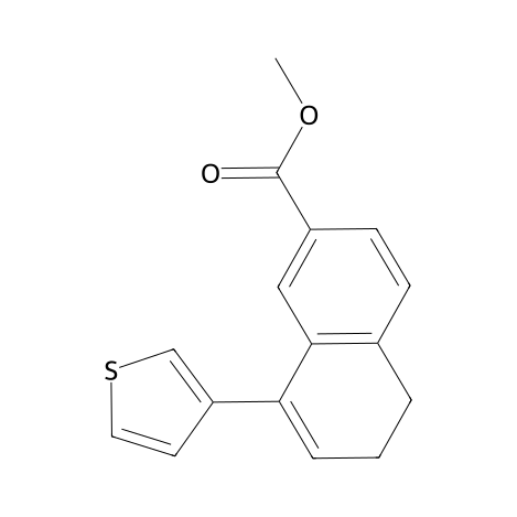 COC(=O)c1ccc2c(c1)C(c1ccsc1)=CCC2